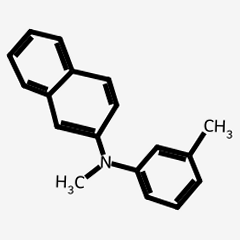 Cc1cccc(N(C)c2ccc3ccccc3c2)c1